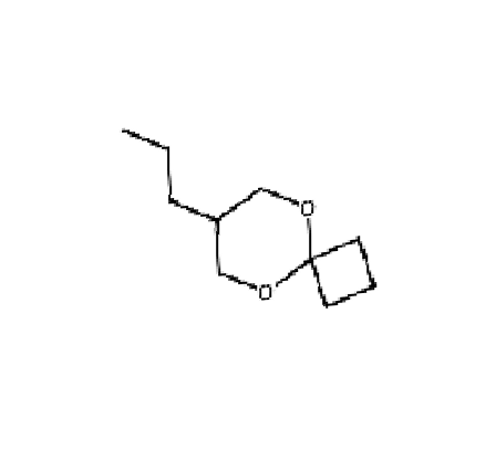 CCCC1COC2(CCC2)OC1